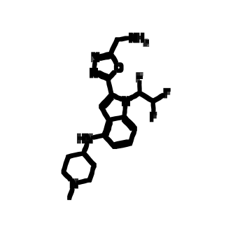 CN1CCC(Nc2cccc3c2cc(-c2nnc(CN)o2)n3C(F)C(F)F)CC1